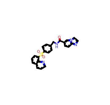 O=C(NCc1ccc(S(=O)(=O)c2cccc3cccnc23)cc1)c1ccc2nccn2c1